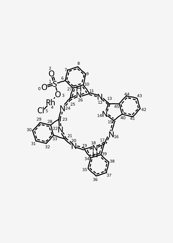 O=S(=O)([O][Rh][Cl])c1cccc2c3nc4nc(nc5[nH]c(nc6nc(nc([nH]3)c12)-c1ccccc1-6)c1ccccc51)-c1ccccc1-4